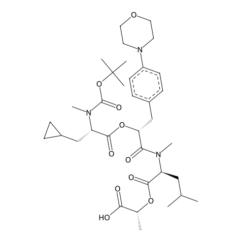 CC(C)C[C@@H](C(=O)O[C@H](C)C(=O)O)N(C)C(=O)[C@@H](Cc1ccc(N2CCOCC2)cc1)OC(=O)[C@H](CC1CC1)N(C)C(=O)OC(C)(C)C